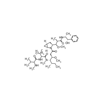 CC[C@H](C)[C@@H]([C@@H](CC(=O)N1[C@H]2C[C@H]2C[C@H]1[C@H](OC)[C@@H](C)C(=O)N[C@H](C)[C@@H](O)c1ccccc1)OC)N(C)C(=O)C(NC(=O)C(NC)C(C)C)C(C)C